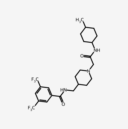 CC1CCC(NC(=O)CN2CCC(CNC(=O)c3cc(C(F)(F)F)cc(C(F)(F)F)c3)CC2)CC1